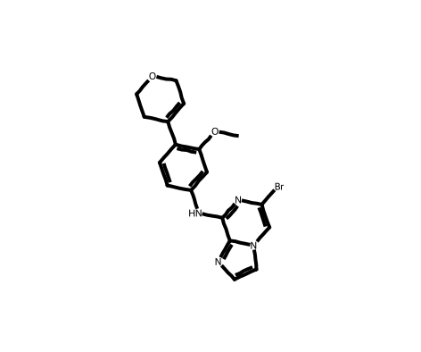 COc1cc(Nc2nc(Br)cn3ccnc23)ccc1C1=CCOCC1